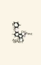 CCCCCOc1c(OCCCCC)c(OC(C)=O)c2cc(Sc3ccccn3)ccc2c1OC(C)=O